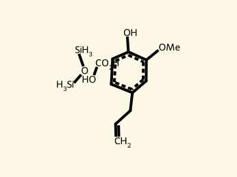 C=CCc1ccc(O)c(OC)c1.O=C(O)O.[SiH3]O[SiH3]